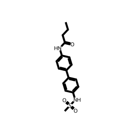 CCCC(=O)Nc1ccc(-c2ccc(NS(C)(=O)=O)cc2)cc1